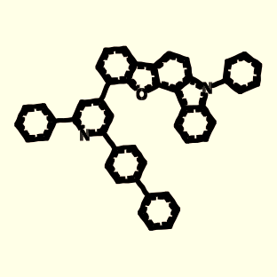 c1ccc(-c2ccc(-c3cc(-c4cccc5c4oc4c5ccc5c4c4ccccc4n5-c4ccccc4)cc(-c4ccccc4)n3)cc2)cc1